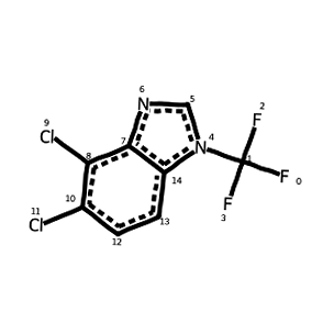 FC(F)(F)n1cnc2c(Cl)c(Cl)ccc21